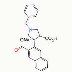 COC(=O)c1cc2ccccc2cc1C1CN(Cc2ccccc2)CC1C(=O)O